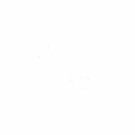 CC(=N)/C=C\c1ncc(-c2ccc(CCC(C)N)cc2)[nH]1